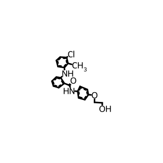 Cc1c(Cl)cccc1Nc1ccccc1C(=O)Nc1ccc(OCCO)cc1